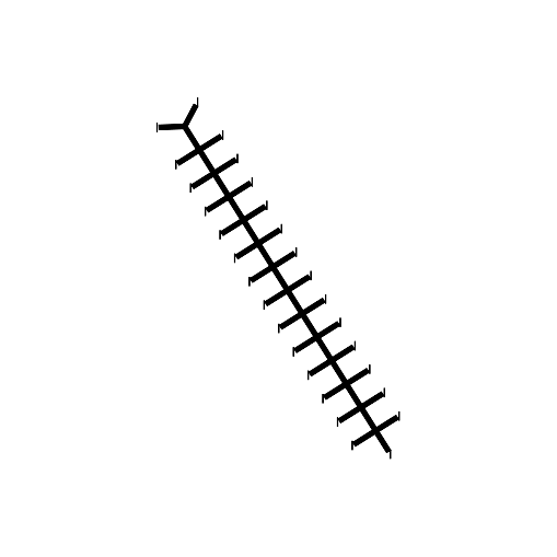 I[C](I)C(I)(I)C(I)(I)C(I)(I)C(I)(I)C(I)(I)C(I)(I)C(I)(I)C(I)(I)C(I)(I)C(I)(I)C(I)(I)C(I)(I)C(I)(I)I